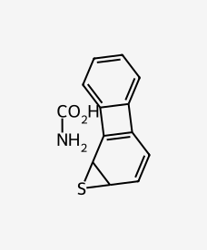 C1=CC2SC2C2=C1c1ccccc12.NC(=O)O